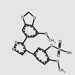 COc1ccc(-c2cnoc2-c2cc(OC)c3c(c2)OCO3)cc1OS(=O)(=O)O